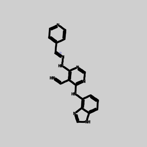 N=Cc1c(N/N=C/c2ccncc2)ncnc1Nc1cccc2[nH]cnc12